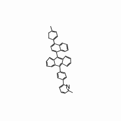 CC1=CC=C(c2ccc(-c3c4ccccc4c(-c4ccc(-c5cccc(C)n5)cc4)c4ccccc34)c3ccccc23)CC1